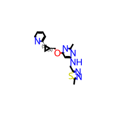 Cc1nc(NCc2nnc(C)s2)cc(OC[C@H]2C[C@@H]2c2ccccn2)n1